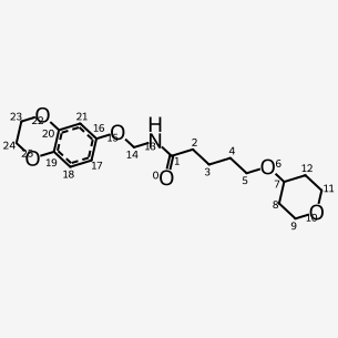 O=C(CCCCOC1CCOCC1)NCOc1ccc2c(c1)OCCO2